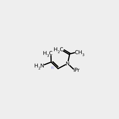 C=C(C)N(/C=C(\C)N)C(C)C